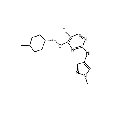 Cn1cc(Nc2ncc(F)c(OC[C@H]3CC[C@H](C)CC3)n2)cn1